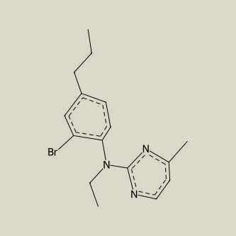 CCCc1ccc(N(CC)c2nccc(C)n2)c(Br)c1